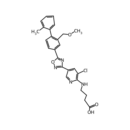 COCc1cc(-c2nc(-c3cnc(NCCCC(=O)O)c(Cl)c3)no2)ccc1-c1ccccc1C